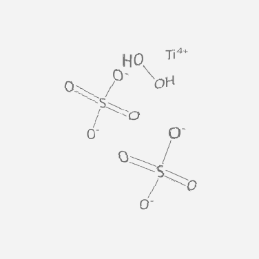 O=S(=O)([O-])[O-].O=S(=O)([O-])[O-].OO.[Ti+4]